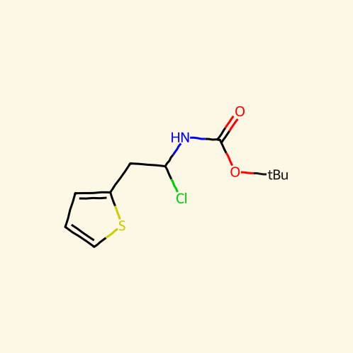 CC(C)(C)OC(=O)NC(Cl)Cc1cccs1